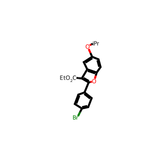 CCOC(=O)c1c(-c2ccc(Br)cc2)oc2ccc(OC(C)C)cc12